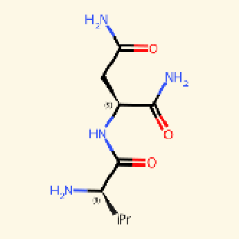 CC(C)[C@@H](N)C(=O)N[C@@H](CC(N)=O)C(N)=O